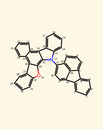 c1ccc2c(c1)-c1cccc3c(-n4c5ccccc5c5c6ccccc6c6c7ccccc7oc6c54)ccc-2c13